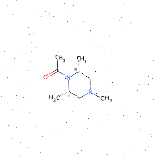 CC(=O)N1[C@H](C)CN(C)C[C@@H]1C